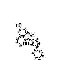 Brc1cc2c3c(c(-c4cnn(C5CCCCO5)c4)[nH]c3c1)NCCO2